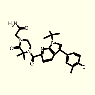 Cc1cc(-c2cn(C(C)(C)C)c3nc(C(=O)N4CCN(CC(N)=O)C(=O)C4(C)C)ccc23)ccc1Cl